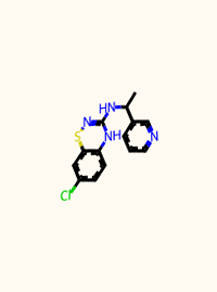 CC(NC1=NSc2cc(Cl)ccc2N1)c1cccnc1